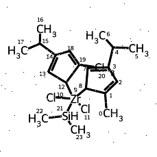 CC1=CC(C(C)C)=C[CH]1[Zr]([Cl])([Cl])([CH]1C=C(C(C)C)C=C1C)[SiH](C)C